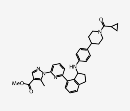 COC(=O)c1cnn(-c2cccc(-c3cccc4c3C(Nc3ccc(C5CCN(C(=O)C6CC6)CC5)cc3)CC4)n2)c1C